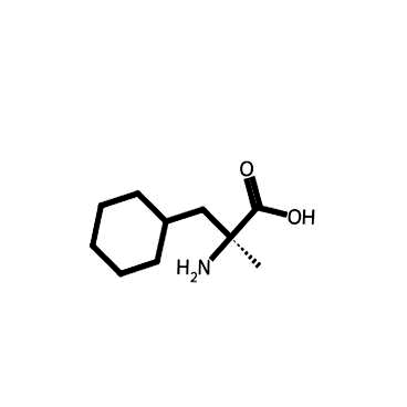 C[C@](N)(CC1CCCCC1)C(=O)O